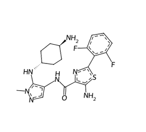 Cn1ncc(NC(=O)c2nc(-c3c(F)cccc3F)sc2N)c1N[C@H]1CC[C@H](N)CC1